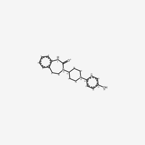 O=C1Nc2ccccc2CCN1C1CCN(c2ccc(O)cn2)CC1